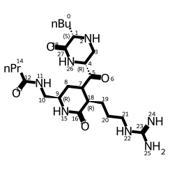 CCCC[C@@H]1NC[C@H](C(=O)C2C[C@H](CNC(=O)CCC)NC(=O)[C@@H]2CCCNC(=N)N)NC1=O